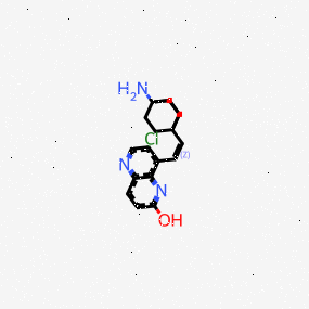 NC12CCC(/C=C\c3c(Cl)cnc4ccc(O)nc34)(CC1)CC2